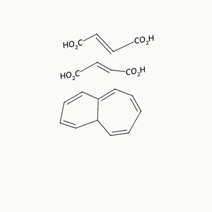 C1=CC=C2C=CC=CC2C=C1.O=C(O)/C=C/C(=O)O.O=C(O)/C=C/C(=O)O